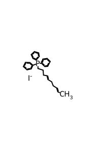 CC=CCCC=CCCC[P+](c1ccccc1)(c1ccccc1)c1ccccc1.[I-]